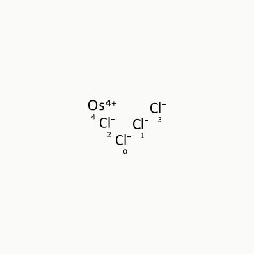 [Cl-].[Cl-].[Cl-].[Cl-].[Os+4]